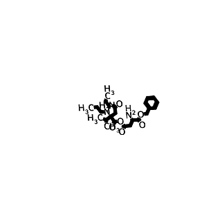 CCCN(CCC)C(CC(N)=O)(C(=O)OC(=O)CC(N)C(=O)OCc1ccccc1)C(C)C